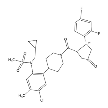 Cc1cc(N(CC2CC2)S(C)(=O)=O)c(C2CCN(C(=O)C3CC(=O)C[C@H]3c3ccc(F)cc3F)CC2)cc1Cl